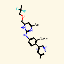 C=C(C)/C=C(\C=N/C)c1ccc(NC2=NC(C(C)=O)=CC(COCC(C)(F)F)N2)cc1OC